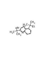 CCCC(C)(C)c1cnc2c(C(C)(C)CC)cccc2n1